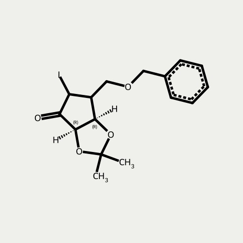 CC1(C)O[C@@H]2C(COCc3ccccc3)C(I)C(=O)[C@@H]2O1